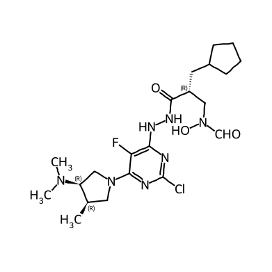 C[C@@H]1CN(c2nc(Cl)nc(NNC(=O)[C@H](CC3CCCC3)CN(O)C=O)c2F)C[C@@H]1N(C)C